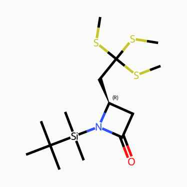 CSC(C[C@H]1CC(=O)N1[Si](C)(C)C(C)(C)C)(SC)SC